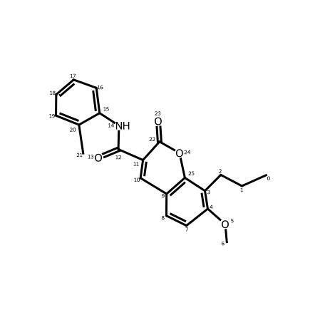 CCCc1c(OC)ccc2cc(C(=O)Nc3cc[c]cc3C)c(=O)oc12